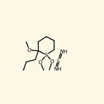 CCCC1(OC)CCCC[Si]1(OC)OC.N=C=N